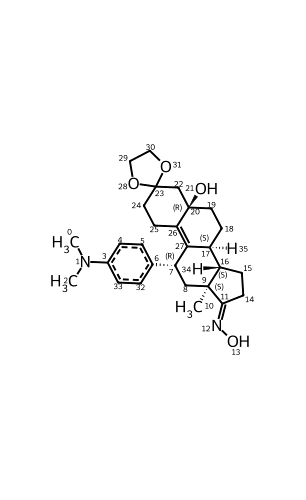 CN(C)c1ccc([C@H]2C[C@]3(C)C(=NO)CC[C@H]3[C@@H]3CC[C@@]4(O)CC5(CCC4=C32)OCCO5)cc1